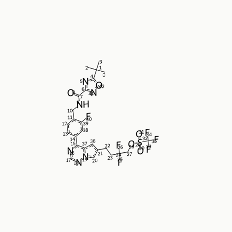 CC(C)(C)c1nc(C(=O)NCc2ccc(-c3ncnn4cc(CCC(F)(F)COS(=O)(=O)C(F)(F)F)cc34)cc2F)no1